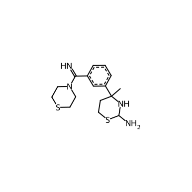 CC1(c2cccc(C(=N)N3CCSCC3)c2)CCSC(N)N1